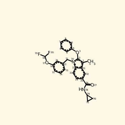 Cc1c(Oc2ccccc2)n(Cc2cccc(OC(F)F)c2)c2ccc(C(=O)NC3CC3)cc12